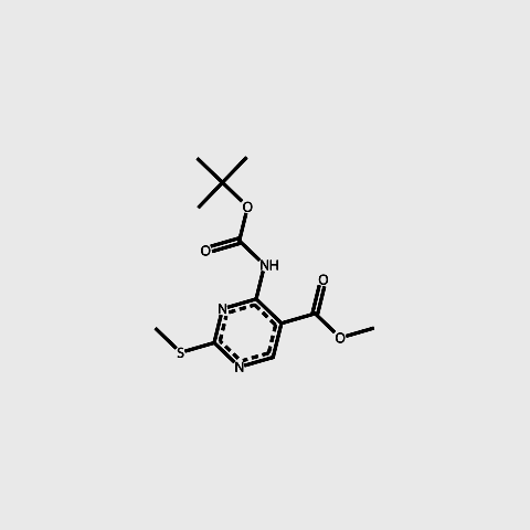 COC(=O)c1cnc(SC)nc1NC(=O)OC(C)(C)C